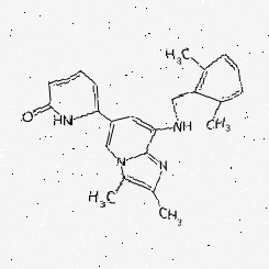 Cc1cccc(C)c1CNc1cc(-c2cccc(=O)[nH]2)cn2c(C)c(C)nc12